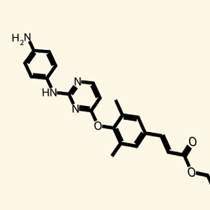 CCOC(=O)/C=C/c1cc(C)c(Oc2ccnc(Nc3ccc(N)cc3)n2)c(C)c1